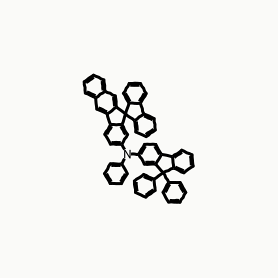 c1ccc(N(c2ccc3c(c2)C(c2ccccc2)(c2ccccc2)c2ccccc2-3)c2ccc3c(c2)C2(c4ccccc4-c4ccccc42)c2cc4ccccc4cc2-3)cc1